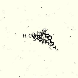 CC1=Cc2ccc(-c3ccc(C)o3)c(Br)c2[CH]1[Zr+2][CH]1C(C)=Cc2c3cc(c(Br)c21)-c1cc(c(C)o1)S3.[Cl-].[Cl-]